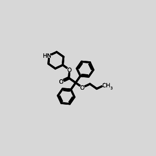 CCCOC(C(=O)OC1CCNCC1)(c1ccccc1)c1ccccc1